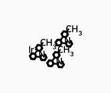 Cc1ccc(-c2ccccc2-c2ccccn2)cc1.Cc1ccc(-c2ccccc2-c2ccccn2)cc1.Cc1ccc(-c2ccccc2-c2ccccn2)cc1.[Ir]